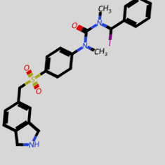 CN(C(=O)N(C)C(I)c1ccccc1)C1=CC=C(S(=O)(=O)Cc2ccc3c(c2)CNC3)CC1